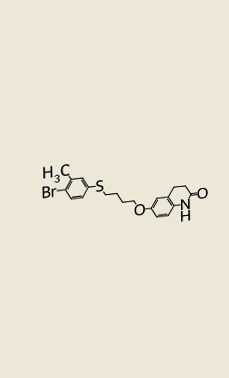 Cc1cc(SCCCCOc2ccc3c(c2)CCC(=O)N3)ccc1Br